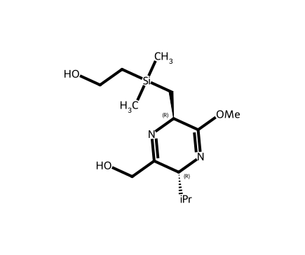 COC1=N[C@H](C(C)C)C(CO)=N[C@H]1C[Si](C)(C)CCO